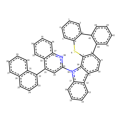 c1ccc2c(c1)Sc1c(ccc3c4ccccc4n(-c4cc(-c5cccc6ccccc56)c5ccccc5n4)c13)-c1ccccc1-2